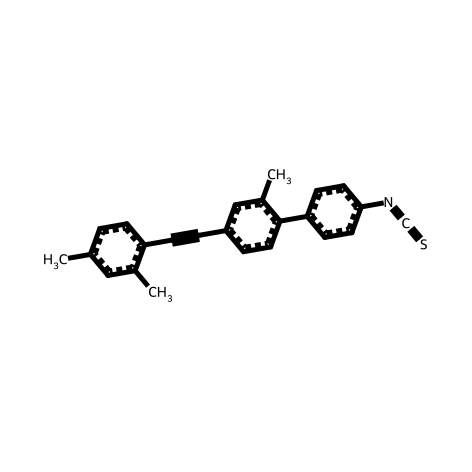 Cc1ccc(C#Cc2ccc(-c3ccc(N=C=S)cc3)c(C)c2)c(C)c1